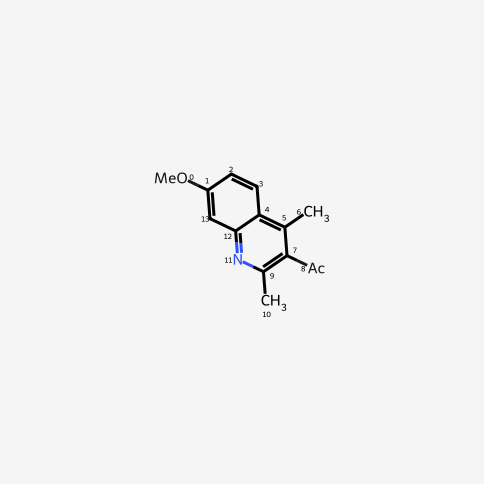 COc1ccc2c(C)c(C(C)=O)c(C)nc2c1